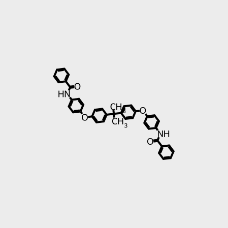 CC(C)(c1ccc(Oc2ccc(NC(=O)c3ccccc3)cc2)cc1)c1ccc(Oc2ccc(NC(=O)c3ccccc3)cc2)cc1